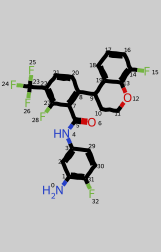 Nc1cc(NC(=O)c2c(C3CCOc4c(F)cccc43)ccc(C(F)(F)F)c2F)ccc1F